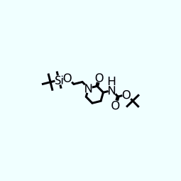 CC(C)(C)OC(=O)NC1CCCN(CCO[Si](C)(C)C(C)(C)C)C1=O